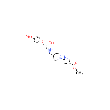 CCOC(=O)c1ccc(N2CCC(CNCC(O)COc3ccc(O)cc3)CC2)nc1